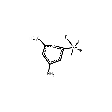 Nc1cc(C(=O)O)cc([SH](F)(F)(F)F)c1